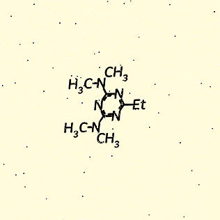 CCc1nc(N(C)C)nc(N(C)C)n1